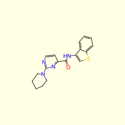 O=C(Nc1csc2ccccc12)c1ccnc(N2CCCCC2)n1